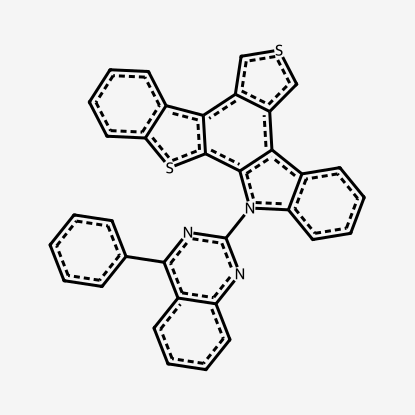 c1ccc(-c2nc(-n3c4ccccc4c4c5cscc5c5c6ccccc6sc5c43)nc3ccccc23)cc1